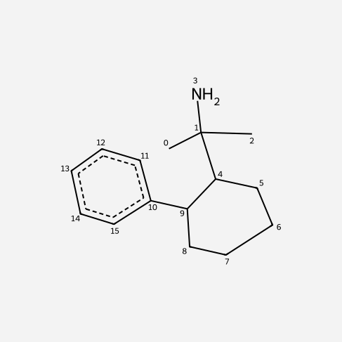 CC(C)(N)C1CCCCC1c1ccccc1